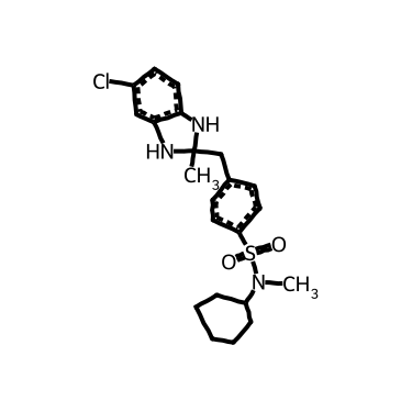 CN(C1CCCCC1)S(=O)(=O)c1ccc(CC2(C)Nc3ccc(Cl)cc3N2)cc1